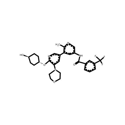 Cc1ncc(NC(=O)c2cccc(C(F)(F)F)c2)cc1-c1cnc(O[C@H]2CC[C@H](O)CC2)c(N2CCOCC2)c1